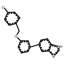 Clc1ccc(COc2cccc(-c3ccc4[nH]cnc4c3)c2)cc1